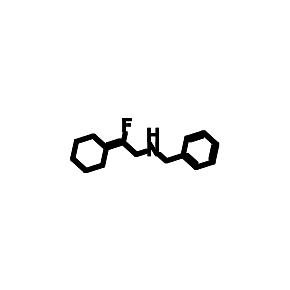 FC(CNCc1ccccc1)=C1CCCCC1